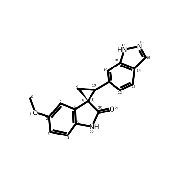 COc1ccc2c(c1)[C@@]1(CC1c1ccc3cn[nH]c3c1)C(=O)N2